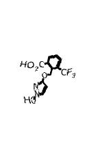 O=C(O)c1cccc(C(F)(F)F)c1COc1ccn(O)n1